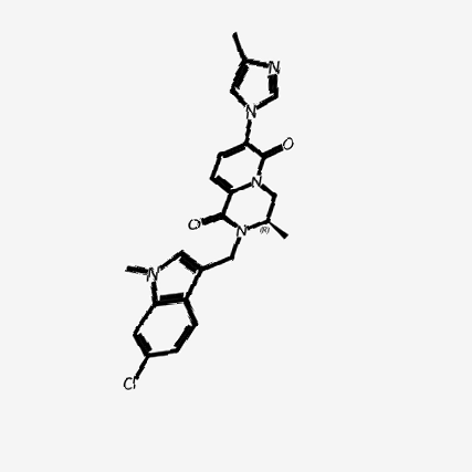 Cc1cn(-c2ccc3n(c2=O)C[C@@H](C)N(Cc2cn(C)c4cc(Cl)ccc24)C3=O)cn1